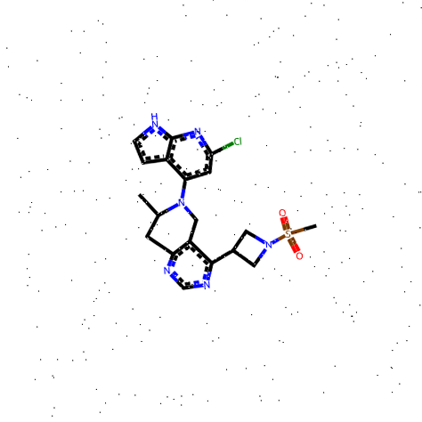 CC1Cc2ncnc(C3CN(S(C)(=O)=O)C3)c2CN1c1cc(Cl)nc2[nH]ccc12